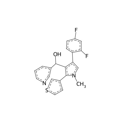 Cn1cc(-c2ccc(F)cc2F)c(C(O)c2cccnc2)c1-c1ccsc1